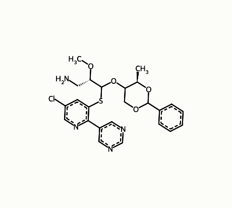 CO[C@@H](CN)C(OC1COC(c2ccccc2)O[C@@H]1C)Sc1cc(Cl)cnc1-c1cncnc1